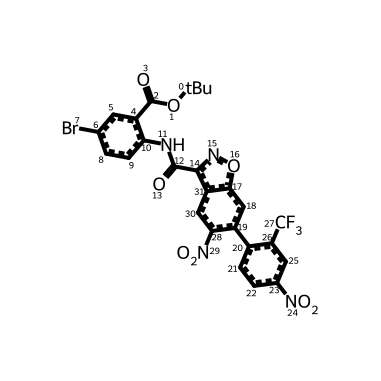 CC(C)(C)OC(=O)c1cc(Br)ccc1NC(=O)c1noc2cc(-c3ccc([N+](=O)[O-])cc3C(F)(F)F)c([N+](=O)[O-])cc12